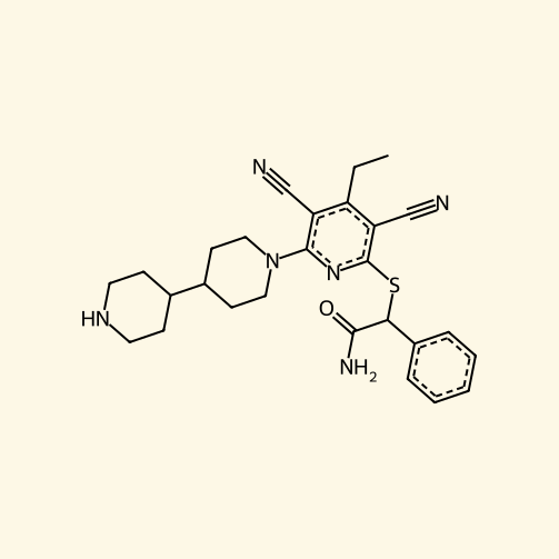 CCc1c(C#N)c(SC(C(N)=O)c2ccccc2)nc(N2CCC(C3CCNCC3)CC2)c1C#N